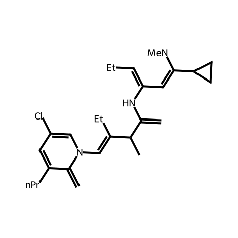 C=C(NC(=C\CC)/C=C(\NC)C1CC1)C(C)/C(=C/N1C=C(Cl)C=C(CCC)C1=C)CC